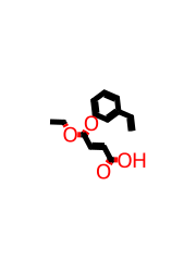 C=Cc1ccccc1.CCOC(=O)C=CC(=O)O